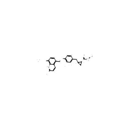 CCOC(=O)[C@@]1(Cc2ccc(OCc3ccc(OC)c4nc(C(F)(F)F)ccc34)cc2)C[C@@H]1C(=O)NO